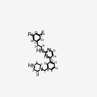 C[C@H]1CNCCN1Cc1cccc(-c2ccnc(NCCc3cc(F)cc(F)c3)n2)c1